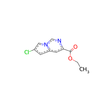 CCOC(=O)c1cc2cc(Cl)cn2cn1